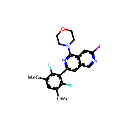 COc1cc(OC)c(F)c(-c2cc3cnc(I)cc3c(N3CCOCC3)n2)c1F